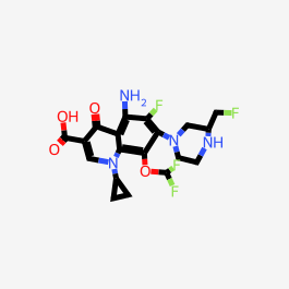 Nc1c(F)c(N2CCNC(CF)C2)c(OC(F)F)c2c1c(=O)c(C(=O)O)cn2C1CC1